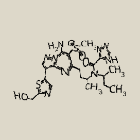 CC[C@H](C)N(C(=O)c1nnc[nH]1)[C@H](C)CCc1nc2c(-c3cnc(CO)s3)cnn2c(N)c1S(C)(=O)=O